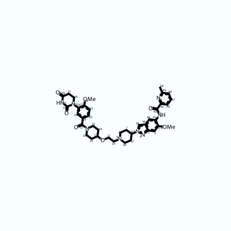 COc1cc2nn(C3CCN(CCOC4CCN(C(=O)c5ccc(OC)c(N6CCC(=O)NC6=O)c5)CC4)CC3)cc2cc1NC(=O)c1cccc(C)n1